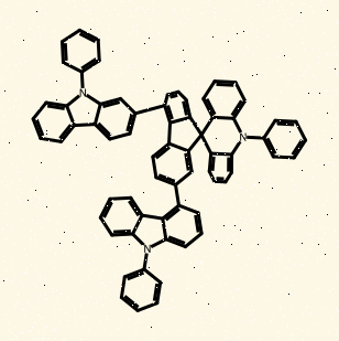 c1ccc(N2c3ccccc3C3(c4cc(-c5cccc6c5c5ccccc5n6-c5ccccc5)ccc4-c4c(-c5ccc6c7ccccc7n(-c7ccccc7)c6c5)cccc43)c3ccccc32)cc1